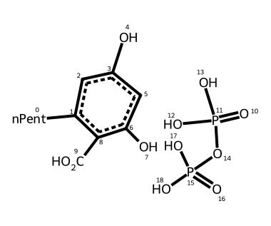 CCCCCc1cc(O)cc(O)c1C(=O)O.O=P(O)(O)OP(=O)(O)O